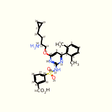 Cc1cccc(C)c1-c1cc(OC[C@H](N)CCC2CC2)nc(NS(=O)(=O)c2cccc(C(=O)O)c2)n1